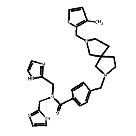 Cc1ccsc1CN1CCC2(CCN(Cc3ccc(C(=O)N(Cc4ncc[nH]4)Cc4ncc[nH]4)cc3)C2)C1